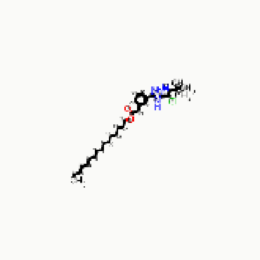 CCCCCCCCCCCCCCCCOC(=O)Cc1cccc(-c2nn3nc(C(C)(C)C)c(Cl)c3[nH]2)c1